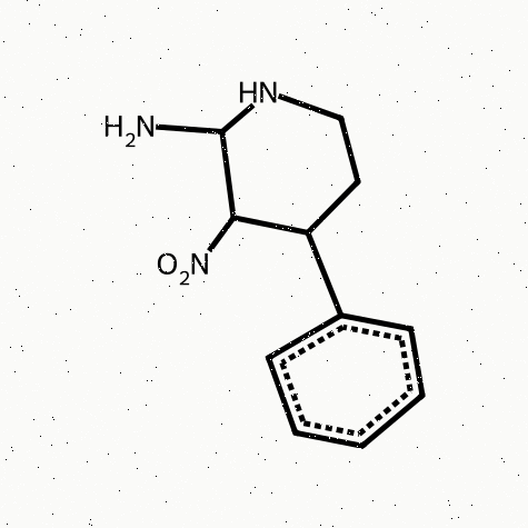 NC1NCCC(c2ccccc2)C1[N+](=O)[O-]